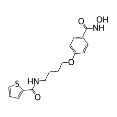 O=C(NO)c1ccc(OCCCCNC(=O)c2cccs2)cc1